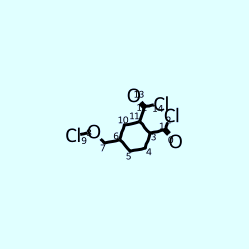 O=C(Cl)C1CCC(COCl)CC1C(=O)Cl